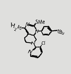 CSC1=NC([AsH2])=C2CCN(c3ncccc3Cl)CC2N1c1ccc(C(C)(C)C)cc1